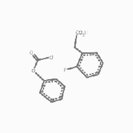 O=C(Cl)Oc1ccccc1.O=C(O)Cc1ccccc1F